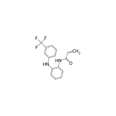 C=CC(=O)Nc1ccccc1Nc1cccc(C(F)(F)F)c1